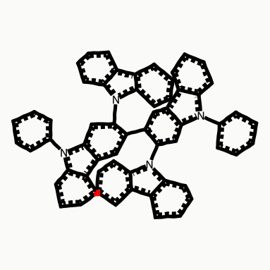 c1ccc(-n2c3ccccc3c3cc(-c4cc5c6ccccc6n(-c6ccccc6)c5cc4-n4c5ccccc5c5ccccc54)c(-n4c5ccccc5c5ccccc54)cc32)cc1